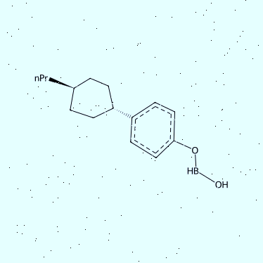 CCC[C@H]1CC[C@H](c2ccc(OBO)cc2)CC1